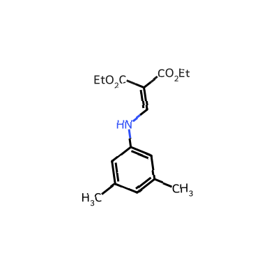 CCOC(=O)C(=CNc1cc(C)cc(C)c1)C(=O)OCC